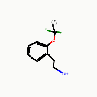 [NH]CCc1ccccc1OC(F)(F)C(F)(F)F